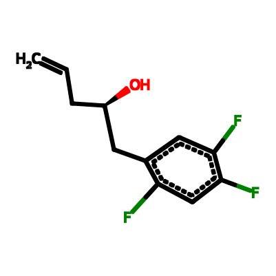 C=CC[C@@H](O)Cc1cc(F)c(F)cc1F